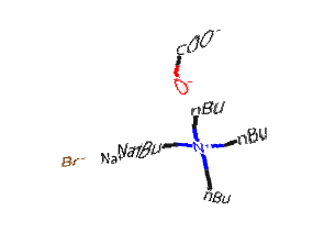 CCCC[N+](CCCC)(CCCC)CCCC.O=C([O-])[O-].[Br-].[Na+].[Na+]